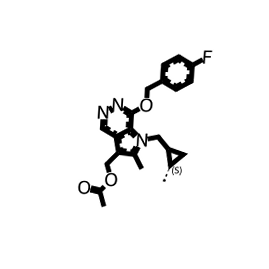 CC(=O)OCc1c(C)n(CC2C[C@@H]2C)c2c(OCc3ccc(F)cc3)nncc12